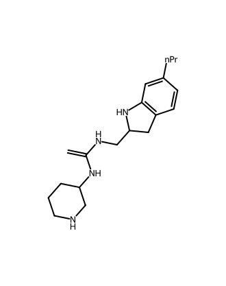 C=C(NCC1Cc2ccc(CCC)cc2N1)NC1CCCNC1